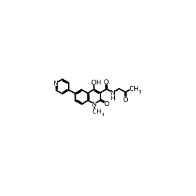 CC(=O)CNC(=O)c1c(O)c2cc(-c3ccncc3)ccc2n(C)c1=O